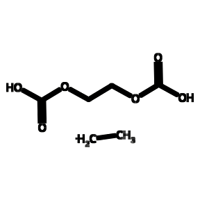 O=C(O)OCCOC(=O)O.[CH2]C